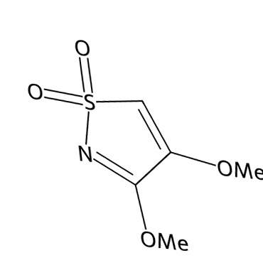 COC1=CS(=O)(=O)N=C1OC